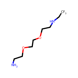 NCCOCCOCCNCC(F)(F)F